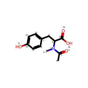 CC(=O)N(I)C(Cc1ccc(O)cc1)C(=O)O